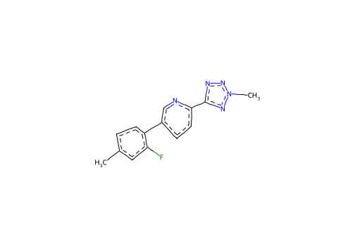 Cc1ccc(-c2ccc(-c3nnn(C)n3)nc2)c(F)c1